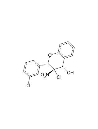 O=[N+]([O-])[C@]1(Cl)[C@@H](O)c2ccccc2O[C@H]1c1cccc(Cl)c1